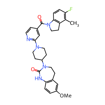 COc1ccc2c(c1)CCN(C1CCN(c3cc(C(=O)N4CCc5c4ccc(F)c5C)ccn3)CC1)C(=O)N2